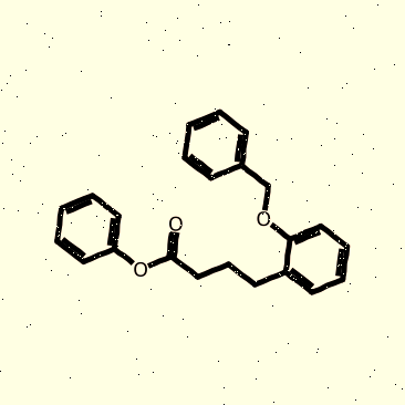 O=C(CCCc1ccccc1OCc1ccccc1)Oc1ccccc1